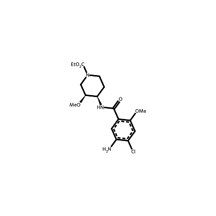 CCOC(=O)N1CC[C@@H](NC(=O)c2cc(N)c(Cl)cc2OC)[C@@H](OC)C1